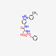 Cc1cccc(-n2nnc3ccc(NC(=O)C(CO)NC(=O)OCc4ccccc4)cc32)c1